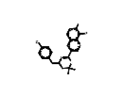 CC1(C)CC(Cc2ccc(Cl)cc2)N=C(c2cnc3c(F)c(F)ccc3c2)O1